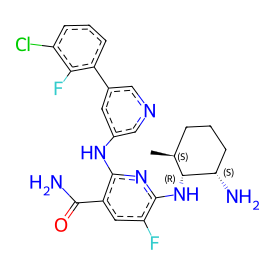 C[C@H]1CCC[C@H](N)[C@@H]1Nc1nc(Nc2cncc(-c3cccc(Cl)c3F)c2)c(C(N)=O)cc1F